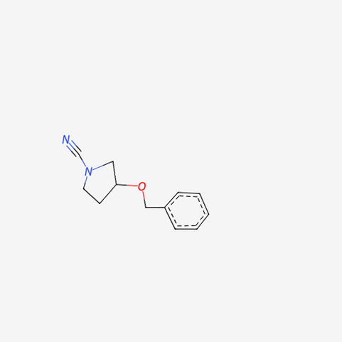 N#CN1CCC(OCc2ccccc2)C1